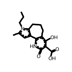 CCCn1c(C)cc2c1CCCc1c-2[nH]c(=O)c(C(=O)O)c1O